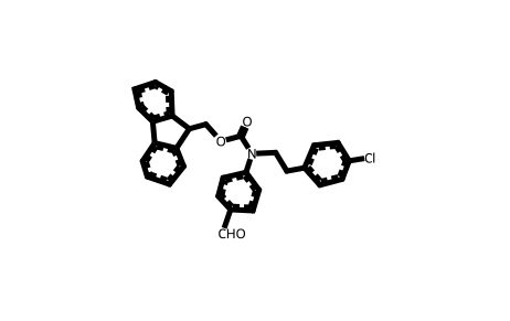 O=Cc1ccc(N(CCc2ccc(Cl)cc2)C(=O)OCC2c3ccccc3-c3ccccc32)cc1